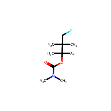 CC(=O)C(C)(OC(=O)N(C)C)C(C)(C)CF